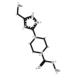 CC(C)(C)Cc1nc(N2CCN(C(=O)OC(C)(C)C)CC2)no1